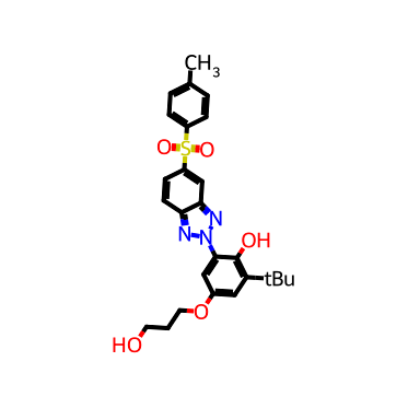 Cc1ccc(S(=O)(=O)c2ccc3nn(-c4cc(OCCCO)cc(C(C)(C)C)c4O)nc3c2)cc1